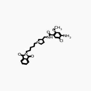 COc1cc(N)c(Cl)cc1C(=O)NCC1CCN(CCCCCN2C(=O)c3ccccc3C2=O)C1